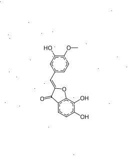 COc1ccc(C=C2Oc3c(ccc(O)c3O)C2=O)cc1O